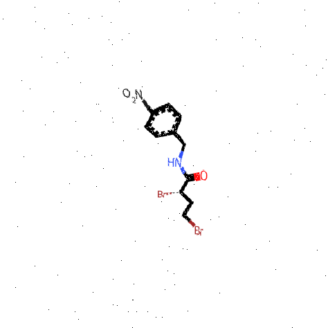 O=C(NCc1ccc([N+](=O)[O-])cc1)[C@@H](Br)CCBr